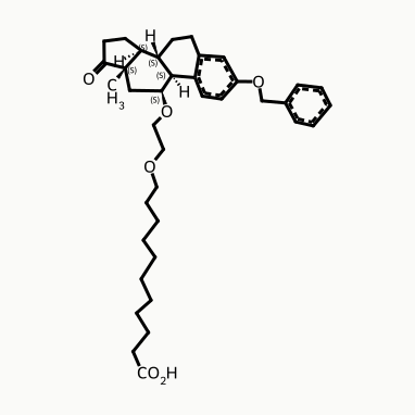 C[C@]12C[C@H](OCCOCCCCCCCCCCC(=O)O)[C@@H]3c4ccc(OCc5ccccc5)cc4CC[C@H]3[C@@H]1CCC2=O